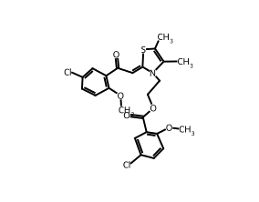 COc1ccc(Cl)cc1C(=O)C=C1SC(C)=C(C)N1CCOC(=O)c1cc(Cl)ccc1OC